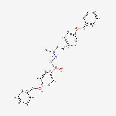 CC(CCc1ccc(OCc2ccccc2)cc1)NCC(O)c1ccc(OCc2ccccc2)cc1